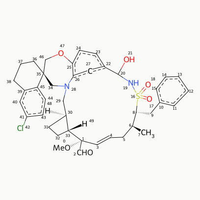 CO[C@@]1(C=O)/C=C/C[C@H](C)[C@@H](Cc2ccccc2)S(=O)(=O)NC(O)c2ccc3c(c2)N(C[C@@H]2CC[C@H]21)C[C@@]1(CCCc2cc(Cl)ccc21)CO3